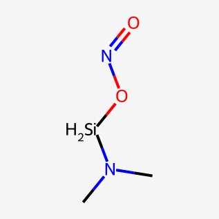 CN(C)[SiH2]ON=O